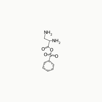 NCC(N)C(=O)OS(=O)(=O)c1ccccc1